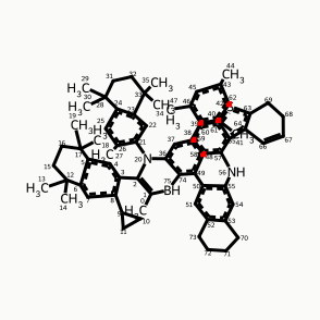 CC1=C(c2cc3c(cc2C2CC2)C(C)(C)CCC3(C)C)N(c2cc3c(cc2C)C(C)(C)CCC3(C)C)c2cc(-c3c(C)cc(C)cc3C)cc(-c3cc4c(cc3Nc3cccc5sc6c(c35)C=CCC6)CCCC4)c2B1